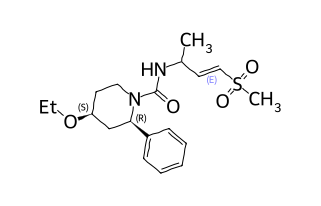 CCO[C@H]1CCN(C(=O)NC(C)/C=C/S(C)(=O)=O)[C@@H](c2ccccc2)C1